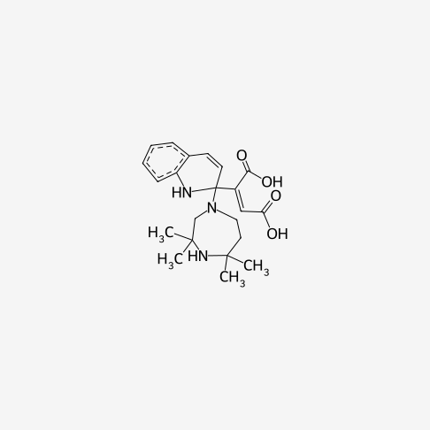 CC1(C)CCN(C2(C(=CC(=O)O)C(=O)O)C=Cc3ccccc3N2)CC(C)(C)N1